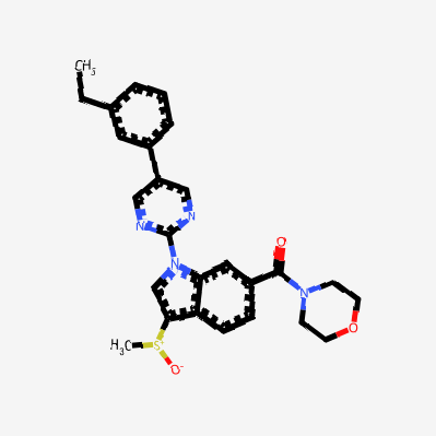 CCc1cccc(-c2cnc(-n3cc([S+](C)[O-])c4ccc(C(=O)N5CCOCC5)cc43)nc2)c1